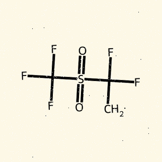 [CH2]C(F)(F)S(=O)(=O)C(F)(F)F